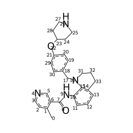 Cc1ccncc1C(=O)Nc1cccc2c1N(Cc1ccc(OC3CCNCC3)cc1)CCC2